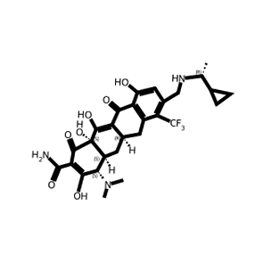 C[C@@H](NCc1cc(O)c2c(c1C(F)(F)F)C[C@H]1C[C@H]3[C@H](N(C)C)C(O)=C(C(N)=O)C(=O)[C@@]3(O)C(O)=C1C2=O)C1CC1